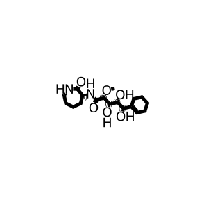 CO[C@@H](C(=O)N[C@H]1CCCCNC1=O)[C@H](O)[C@@H](O)[C@H](O)C1=CCCCC1